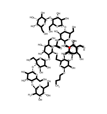 CCCCO[C@H]1OC(CO[C@@H]2OC(CO)[C@@H](O)[C@H](O)C2O[C@H]2OC(CO)[C@@H](O[C@@H]3OC(CO)[C@H](O[C@H]4OC(CO)[C@H](O)[C@H](O)C4C)[C@H](O)C3O)[C@H](O)C2O)[C@@H](O[C@@H]2OC(CO)[C@@H](O)[C@H](O)C2OC2OC(CO)[C@@H](O[C@@H]3OC(CO)[C@H](O[C@H]4OC(CO)[C@H](O)[C@H](O)C4O)[C@H](O)C3O)[C@H](O)C2NC(C)=O)[C@H](O[C@@H]2OC(CO)[C@@H](O)[C@H](O)C2O)C1O